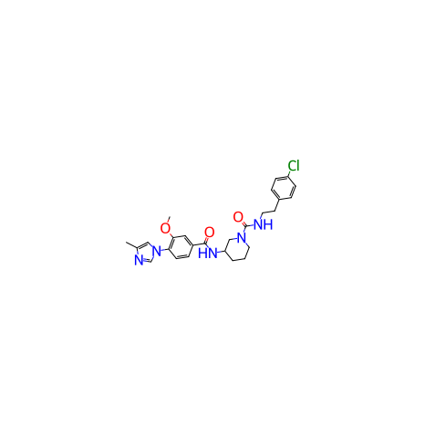 COc1cc(C(=O)NC2CCCN(C(=O)NCCc3ccc(Cl)cc3)C2)ccc1-n1cnc(C)c1